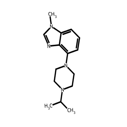 CC(C)N1CCN(c2cccc3c2ncn3C)CC1